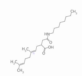 CCCCCCCCNC(=O)CC(C/C=C(\C)CCC=C(C)C)C(=O)O